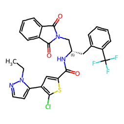 CCn1nccc1-c1cc(C(=O)N[C@@H](Cc2ccccc2C(F)(F)F)CN2C(=O)c3ccccc3C2=O)sc1Cl